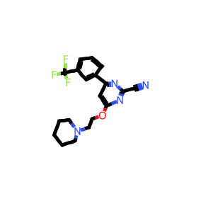 N#Cc1nc(OCCN2CCCCC2)cc(-c2cccc(C(F)(F)F)c2)n1